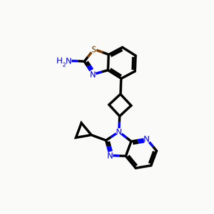 Nc1nc2c(C3CC(n4c(C5CC5)nc5cccnc54)C3)cccc2s1